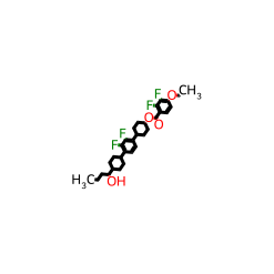 CCCC(O)C1CCC(c2ccc(C3CCC(OC(=O)c4ccc(OCC)c(F)c4F)CC3)c(F)c2F)CC1